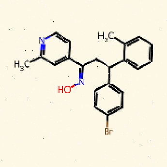 Cc1cc(C(C[C@H](c2ccc(Br)cc2)c2ccccc2C)=NO)ccn1